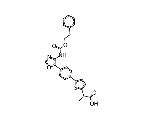 C[C@H](C(=O)O)c1ccc(-c2ccc(-c3ocnc3NC(=O)OCCc3ccccc3)cc2)s1